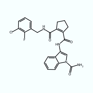 NC(=O)n1cc(NC(=O)C2=C(C(=O)NCc3cccc(Cl)c3F)CCC2)c2ccccc21